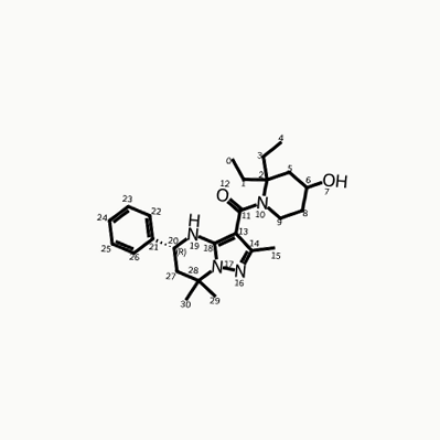 CCC1(CC)CC(O)CCN1C(=O)c1c(C)nn2c1N[C@@H](c1ccccc1)CC2(C)C